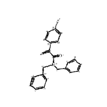 C=C(C(=O)N(Cc1ccccc1)Cc1ccccc1)c1ccc(Cl)cc1